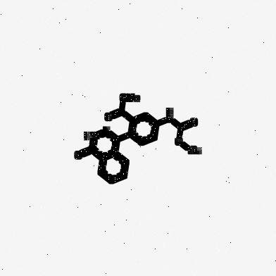 COC(=O)c1cc(NC(=O)OC(C)(C)C)ccc1-c1n[nH]c(=O)c2ccccc12